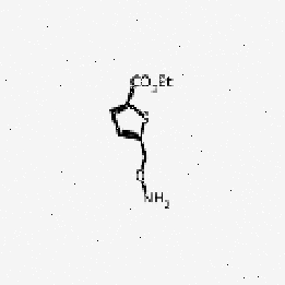 CCOC(=O)c1ccc(CON)s1